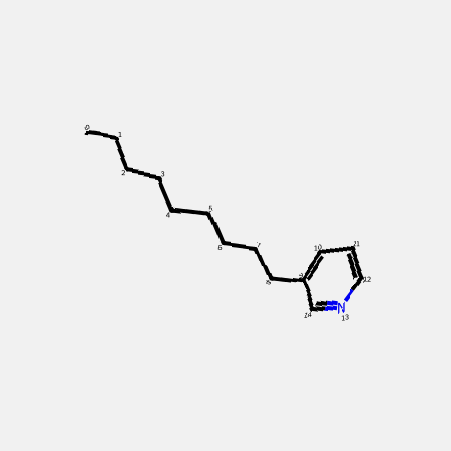 CCCCCCCCCc1cccnc1